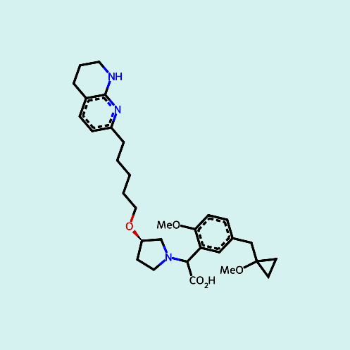 COc1ccc(CC2(OC)CC2)cc1C(C(=O)O)N1CC[C@@H](OCCCCCc2ccc3c(n2)NCCC3)C1